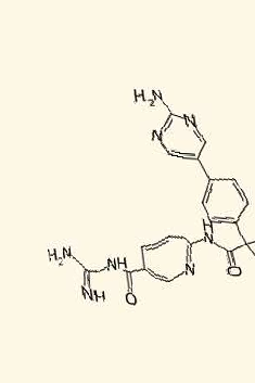 N=C(N)NC(=O)c1ccc(NC(=O)C2(c3ccc(-c4cnc(N)nc4)cc3)CCC2)nc1